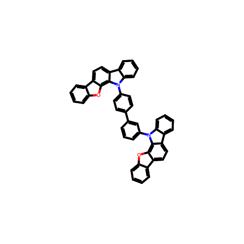 c1cc(-c2ccc(-n3c4ccccc4c4ccc5c6ccccc6oc5c43)cc2)cc(-n2c3ccccc3c3ccc4c5ccccc5oc4c32)c1